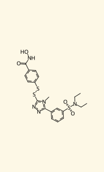 CCN(CC)S(=O)(=O)c1cccc(-c2nnc(SSc3ccc(C(=O)NO)cc3)n2C)c1